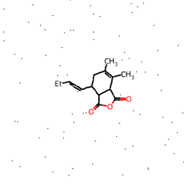 CCC=CC1CC(C)=C(C)C2C(=O)OC(=O)C12